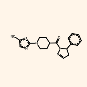 N#Cc1cnc(N2CCC(C(=O)N3N=CCC3c3ccccc3)CC2)o1